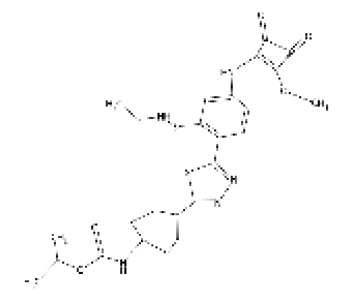 CCNSc1cc(Nc2c(OC)c(=O)c2=O)ccc1-c1nnc(C2CCC(NC(=O)OC(C)C)CC2)s1